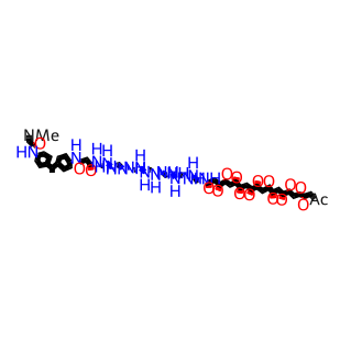 CNCC(=O)NC1CCC(C(C)C2CCC(NC(=O)CC(=O)NCNNCNNCNNCNNCNNCNNCNC(=O)CC(=O)C(=O)CC(=O)C(=O)CC(=O)C(=O)CC(=O)C(=O)CC(=O)C(=O)CC(=O)C(=O)CC(C)=O)CC2)CC1